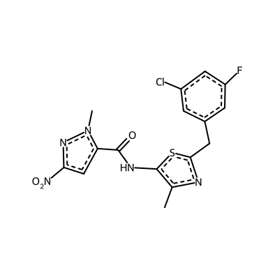 Cc1nc(Cc2cc(F)cc(Cl)c2)sc1NC(=O)c1cc([N+](=O)[O-])nn1C